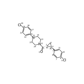 O=C([C@@H]1C[C@H]1c1ccc(Cl)cc1)N1CCN(c2ccc(Cl)cc2)CC1